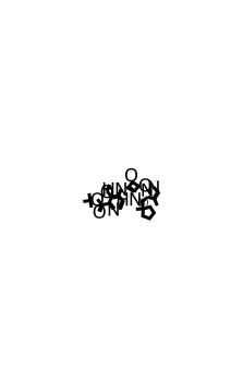 COc1c(Nc2c(N[C@@H](c3nn(C)cc3C)C3(C)CCCC3)c(=O)c2=O)ccnc1C(=O)OC(C)(C)C